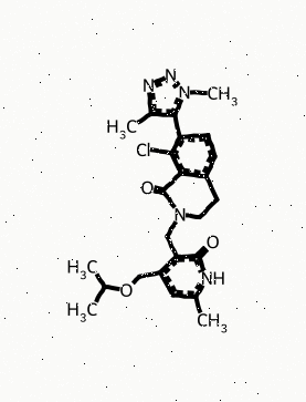 Cc1cc(COC(C)C)c(CN2CCc3ccc(-c4c(C)nnn4C)c(Cl)c3C2=O)c(=O)[nH]1